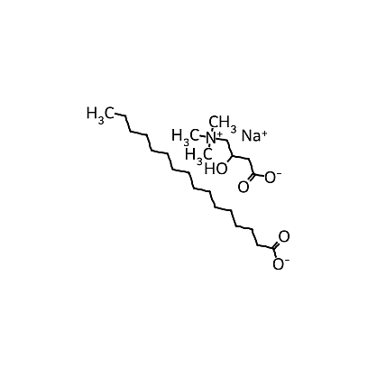 CCCCCCCCCCCCCCCC(=O)[O-].C[N+](C)(C)CC(O)CC(=O)[O-].[Na+]